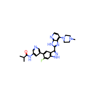 CC(C)C(=O)Nc1cncc(-c2cc3c(-c4nc5c(N6CCN(C)CC6)ccnc5[nH]4)n[nH]c3cc2F)c1